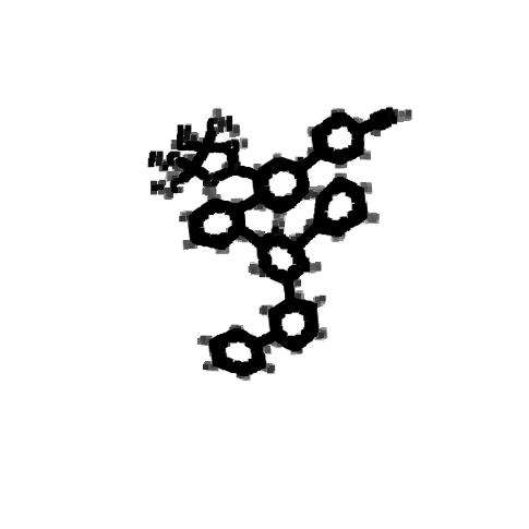 CC1(C)OB(c2cc(-c3ccc(C#N)cc3)ccc2-c2ccccc2-c2nc(-c3ccccc3)nc(-c3cccc(-c4ccccc4)c3)n2)OC1(C)C